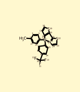 Cc1ccc([B-]2(c3ccc(C(F)(F)F)cc3)c3ccsc3-c3scc[n+]32)cc1